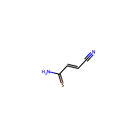 N#CC=CC(N)=S